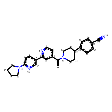 C=C(c1ccnc(-c2ccc(N3CCCC3)nc2)c1)N1CCC(c2ccc(C#N)cc2)CC1